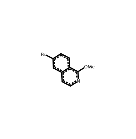 COc1nccc2cc(Br)ccc12